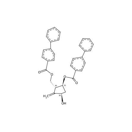 C=C1[C@H](O)C[C@H](OC(=O)c2ccc(-c3ccccc3)cc2)[C@H]1COC(=O)c1ccc(-c2ccccc2)cc1